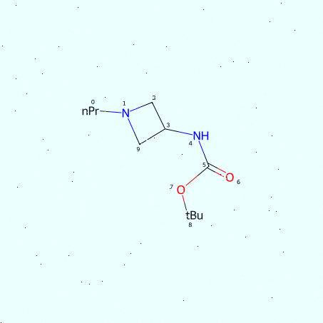 CCCN1CC(NC(=O)OC(C)(C)C)C1